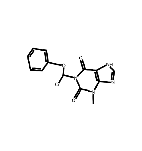 Cn1c(=O)n(C(Cl)Oc2ccccc2)c(=O)c2[nH]cnc21